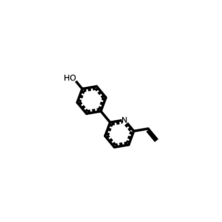 C=Cc1cccc(-c2ccc(O)cc2)n1